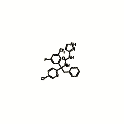 O=C(Nc1cc[nH]n1)NC(Cc1ccccc1)(c1cc(F)cc(C(F)(F)F)c1)c1ccc(Cl)cn1